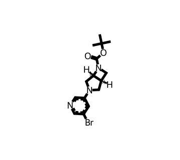 CC(C)(C)OC(=O)N1C[C@@H]2CN(c3cncc(Br)c3)C[C@@H]21